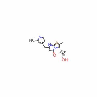 Cc1sc2nc(Cc3ccnc(C#N)c3)cc(=O)n2c1[C@@H]1C[C@H]1CO